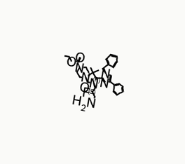 CCOC(=O)N1CCN(C(=O)N(C[C@@H](F)CN)[C@@H](c2nc(-c3ccccc3)cn2Cc2ccccc2)C(C)(C)C)CC1